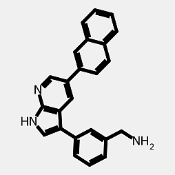 NCc1cccc(-c2c[nH]c3ncc(-c4ccc5ccccc5c4)cc23)c1